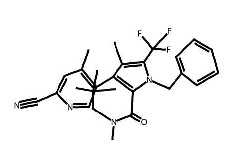 Cc1cc(C#N)ncc1-c1c(C)c(C(F)(F)F)n(Cc2ccccc2)c1C(=O)N(C)CC(C)(C)C